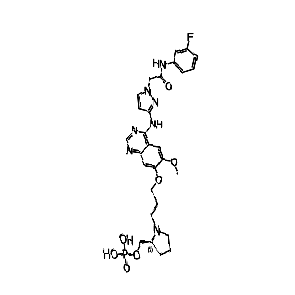 COc1cc2c(Nc3ccn(CC(=O)Nc4cccc(F)c4)n3)ncnc2cc1OCCCN1CCC[C@H]1COP(=O)(O)O